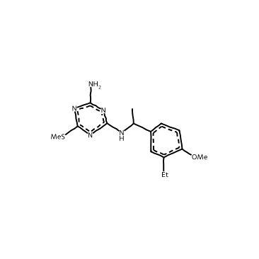 CCc1cc(C(C)Nc2nc(N)nc(SC)n2)ccc1OC